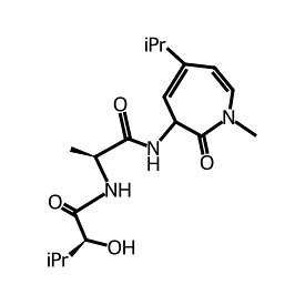 CC(C)C1=CC(NC(=O)[C@H](C)NC(=O)[C@@H](O)C(C)C)C(=O)N(C)C=C1